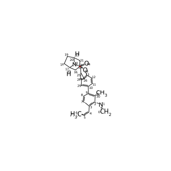 C=Nc1c(/C=C\C)ccc(-c2ccc(O[C@H]3C[C@H]4CC[C@@H](C3)N4C(=O)C3CC3)cc2)c1C